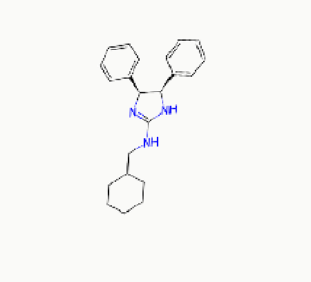 c1ccc([C@H]2NC(NCC3CCCCC3)=N[C@H]2c2ccccc2)cc1